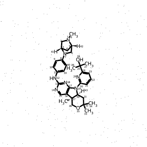 CN1C[C@@H]2C[C@H]1CN2c1ccc(Nc2ncc3c(n2)N(c2cccc(C(C)(C)O)n2)[C@H]2CC(C)(C)OC[C@@]32C)cc1